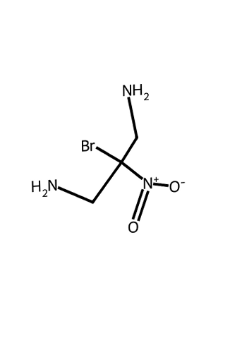 NCC(Br)(CN)[N+](=O)[O-]